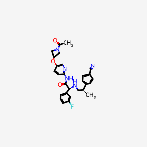 CC(=O)N1CC(Oc2ccc(NC(=O)[C@@H](NC[C@@H](C)c3ccc(C#N)cc3)c3cccc(F)c3)nc2)C1